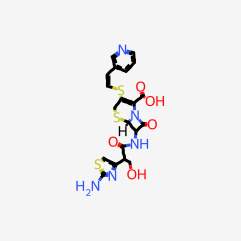 Nc1nc(C(CO)C(=O)NC2C(=O)N3C(C(=O)O)=C(S/C=C\c4cccnc4)CS[C@@H]23)cs1